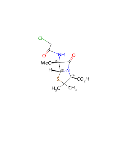 CO[C@@]1(NC(=O)CCl)C(=O)N2[C@@H](C(=O)O)C(C)(C)S[C@@H]21